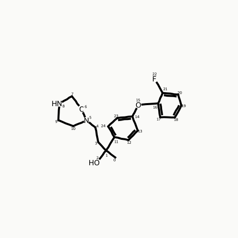 CC(O)(CCN1CCNCC1)c1ccc(Oc2ccccc2F)cc1